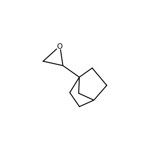 C1CC2(C3CO3)CCC1C2